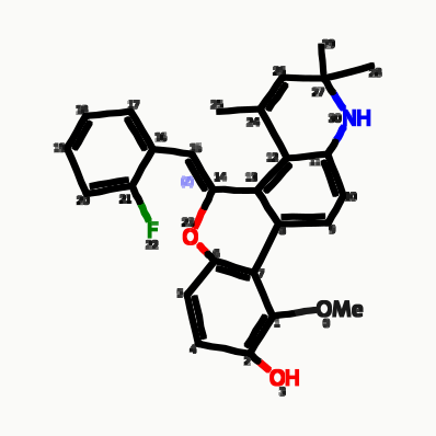 COc1c(O)ccc2c1-c1ccc3c(c1/C(=C/c1ccccc1F)O2)C(C)=CC(C)(C)N3